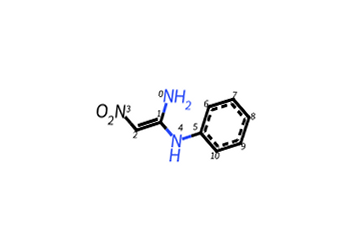 N/C(=C\[N+](=O)[O-])Nc1ccccc1